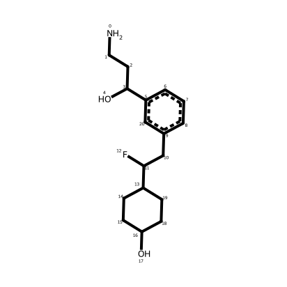 NCCC(O)c1cccc(CC(F)C2CCC(O)CC2)c1